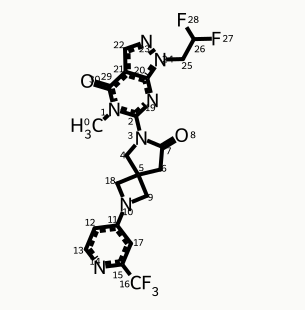 Cn1c(N2CC3(CC2=O)CN(c2ccnc(C(F)(F)F)c2)C3)nc2c(cnn2CC(F)F)c1=O